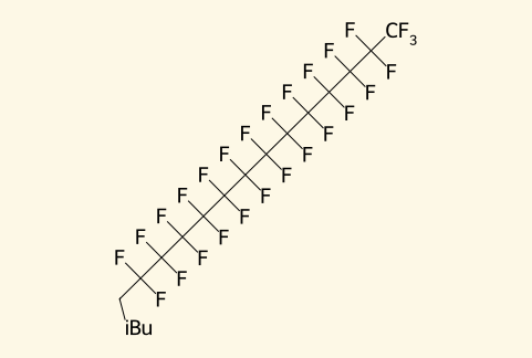 CCC(C)CC(F)(F)C(F)(F)C(F)(F)C(F)(F)C(F)(F)C(F)(F)C(F)(F)C(F)(F)C(F)(F)C(F)(F)C(F)(F)C(F)(F)C(F)(F)F